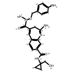 CCCN(OCc1ccc(N)cc1)C(=O)C1=Cc2ccc(C(=O)NC3(CO)CC3)cc2N=C(N)C1